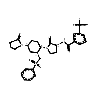 O=C(N[C@H]1CCN([C@H]2CC[C@@H](N3CCCC3=O)C[C@@H]2CS(=O)(=O)c2ccccc2)C1=O)c1cccc(C(F)(F)F)c1